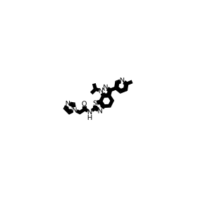 Cc1ccc(-c2nn(C(C)C)c3c2CCc2nc(NC(=O)Cn4ccnc4)sc2-3)cn1